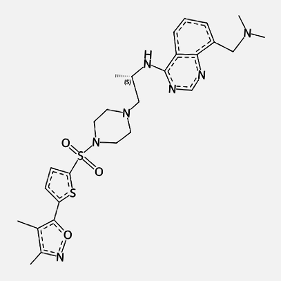 Cc1noc(-c2ccc(S(=O)(=O)N3CCN(C[C@H](C)Nc4ncnc5c(CN(C)C)cccc45)CC3)s2)c1C